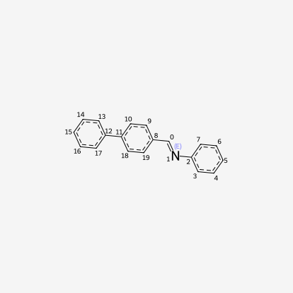 C(=N\c1ccccc1)/c1ccc(-c2ccccc2)cc1